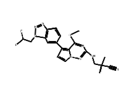 COc1nc(NCC(C)(C)C#N)nn2ccc(-c3ccc4nnn(CC(F)F)c4c3)c12